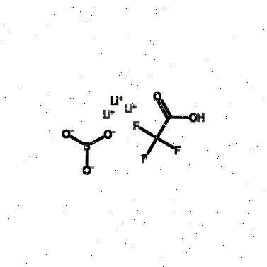 O=C(O)C(F)(F)F.[Li+].[Li+].[Li+].[O-]B([O-])[O-]